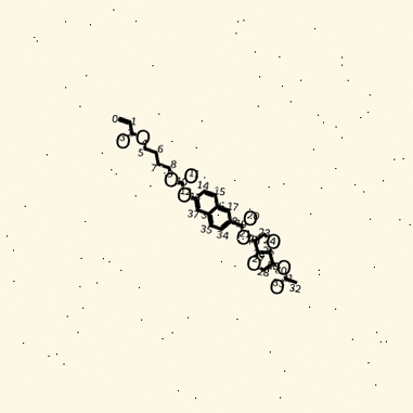 C=CC(=O)OCCCCOC(=O)Oc1ccc2cc(C(=O)O[C@@H]3COC4C3OC[C@H]4OC(C)=O)ccc2c1